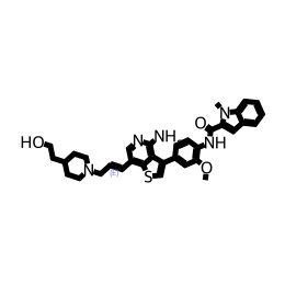 COc1cc(-c2csc3c(/C=C/CN4CCC(CCO)CC4)cnc(N)c23)ccc1NC(=O)c1cc2ccccc2n1C